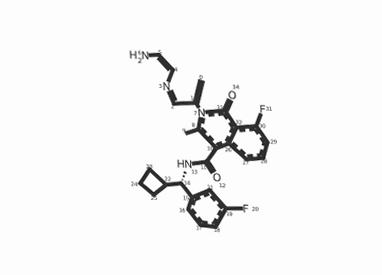 C=C(/C=N\C=C/N)n1c(C)c(C(=O)N[C@H](c2cccc(F)c2)C2CCC2)c2cccc(F)c2c1=O